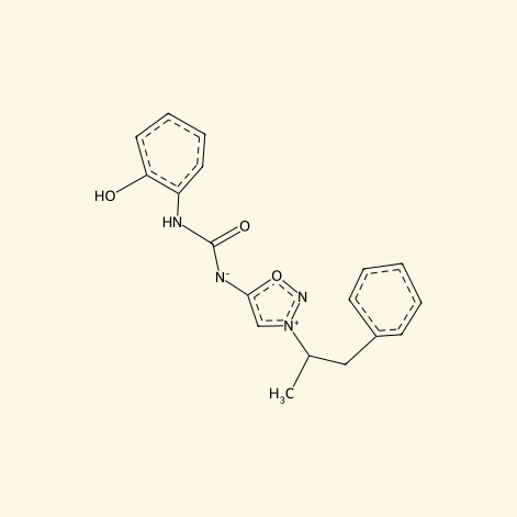 CC(Cc1ccccc1)[n+]1cc([N-]C(=O)Nc2ccccc2O)on1